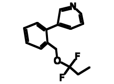 CCC(F)(F)OCc1ccccc1-c1cccnc1